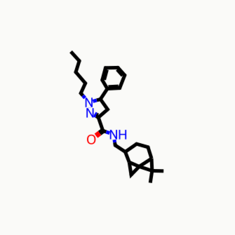 CCCCCN1N=C(C(=O)NCC2CCC3C(C)(C)C34CC24)CC1c1ccccc1